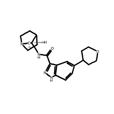 O=C(N[C@H]1CN2CCC1CC2)c1n[nH]c2ccc(C3CCOCC3)cc12